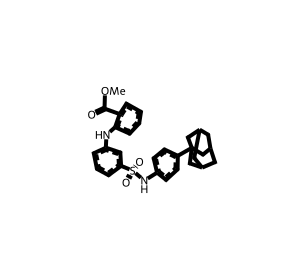 COC(=O)c1ccccc1Nc1cccc(S(=O)(=O)Nc2ccc(C34CC5CC(CC(C5)C3)C4)cc2)c1